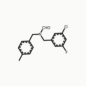 Cc1ccc(CN(C=O)Cc2cc(F)cc(Cl)c2)cc1